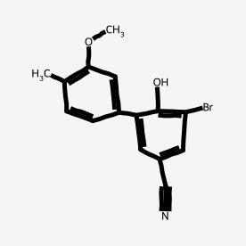 COc1cc(-c2cc(C#N)cc(Br)c2O)ccc1C